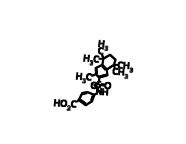 Cc1cc2c(cc1S(=O)(=O)Nc1ccc(C(=O)O)cc1)C(C)(C)CCC2(C)C